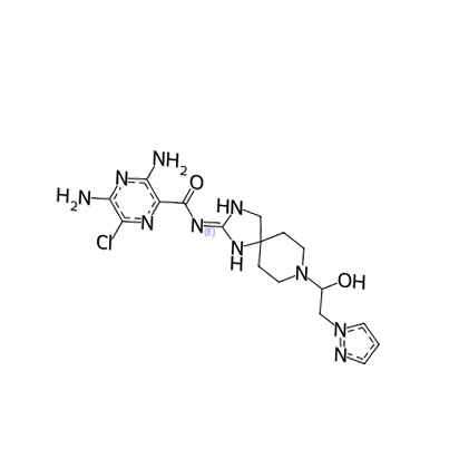 Nc1nc(N)c(C(=O)/N=C2\NCC3(CCN(C(O)Cn4cccn4)CC3)N2)nc1Cl